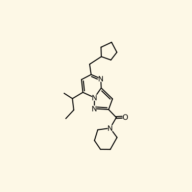 CCC(C)c1cc(CC2CCCC2)nc2cc(C(=O)N3CCCCC3)nn12